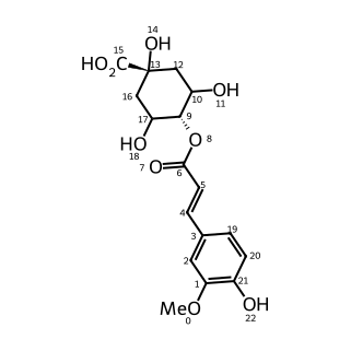 COc1cc(/C=C/C(=O)O[C@H]2C(O)C[C@](O)(C(=O)O)CC2O)ccc1O